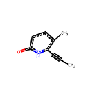 CC#Cc1[nH]c(=O)ccc1C